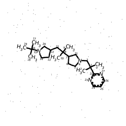 CC(C)(CN1CCC(C(C)(C)CC2CCN(C(C)(C)C)C2)C1)c1ncccn1